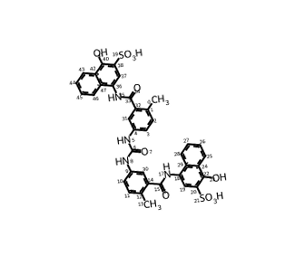 Cc1ccc(NC(=O)Nc2ccc(C)c(C(=O)Nc3cc(S(=O)(=O)O)c(O)c4ccccc34)c2)cc1C(=O)Nc1cc(S(=O)(=O)O)c(O)c2ccccc12